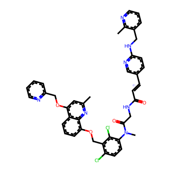 Cc1cc(OCc2ccccn2)c2cccc(OCc3c(Cl)ccc(N(C)C(=O)CNC(=O)/C=C/c4ccc(NCc5cccnc5C)nc4)c3Cl)c2n1